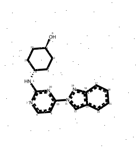 O[C@H]1CC[C@H](Nc2nccc(-n3cc4ccccc4n3)n2)CC1